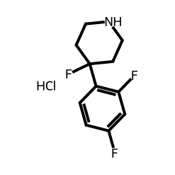 Cl.Fc1ccc(C2(F)CCNCC2)c(F)c1